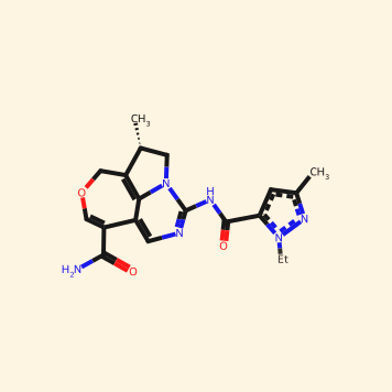 CCn1nc(C)cc1C(=O)NC1=NC=C2C(C(N)=O)=COCC3=C2N1C[C@H]3C